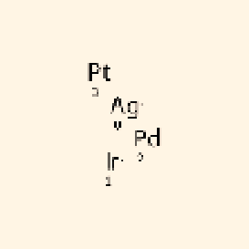 [Ag].[Ir].[Pd].[Pt]